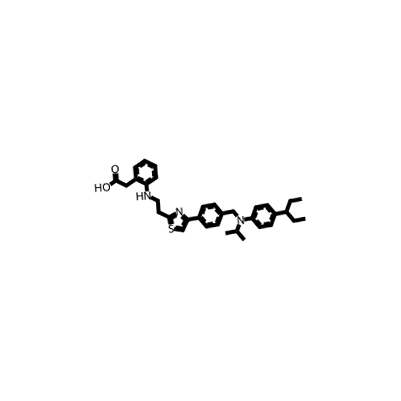 CCC(CC)c1ccc(N(Cc2ccc(-c3csc(CCNc4ccccc4CC(=O)O)n3)cc2)C(C)C)cc1